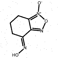 [O-][n+]1onc2c1CCCC2=NO